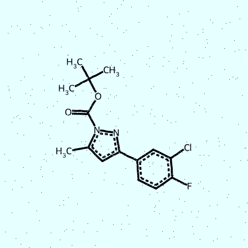 Cc1cc(-c2ccc(F)c(Cl)c2)nn1C(=O)OC(C)(C)C